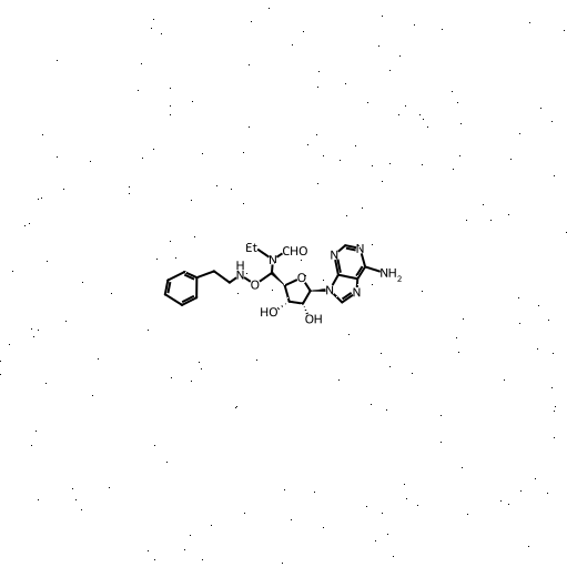 CCN(C=O)C(ONCCc1ccccc1)[C@H]1O[C@@H](n2cnc3c(N)ncnc32)[C@H](O)[C@@H]1O